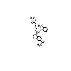 CCC(=O)CCCCN(CCc1ccccc1C)C1CCCc2cc(C(C)=O)ccc21